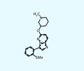 CSc1ccccc1-c1cnc2ccc(OC3CCCN(C)C3)nn12